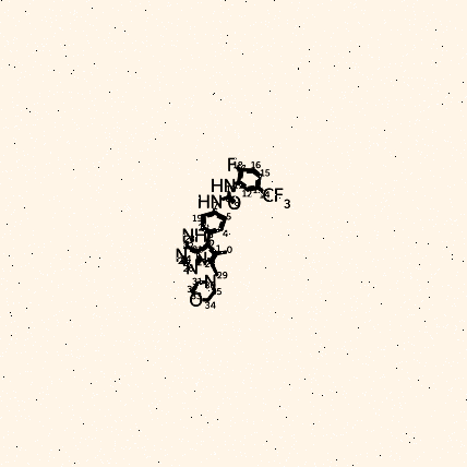 Cc1c(-c2ccc(NC(=O)Nc3cc(C(F)(F)F)ccc3F)cc2)c2c(N)ncnn2c1CN1CCOCC1